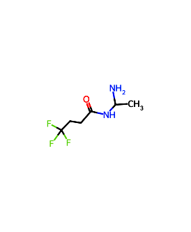 CC(N)NC(=O)CCC(F)(F)F